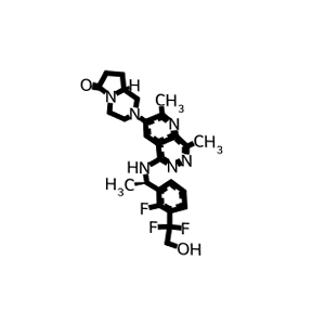 Cc1nc2c(C)nnc(N[C@H](C)c3cccc(C(F)(F)CO)c3F)c2cc1N1CCN2C(=O)CC[C@@H]2C1